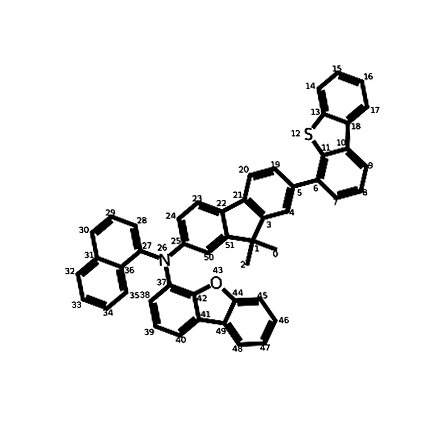 CC1(C)c2cc(-c3cccc4c3sc3ccccc34)ccc2-c2ccc(N(c3cccc4ccccc34)c3cccc4c3oc3ccccc34)cc21